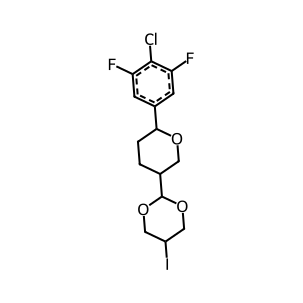 Fc1cc(C2CCC(C3OCC(I)CO3)CO2)cc(F)c1Cl